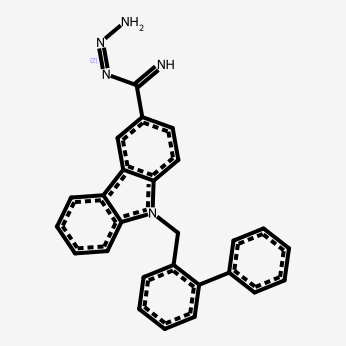 N=C(/N=N\N)c1ccc2c(c1)c1ccccc1n2Cc1ccccc1-c1ccccc1